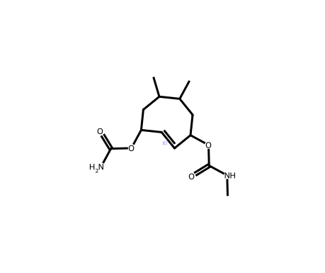 CNC(=O)OC1/C=C/C(OC(N)=O)CC(C)C(C)C1